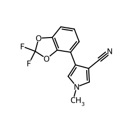 Cn1cc(C#N)c(-c2cccc3c2OC(F)(F)O3)c1